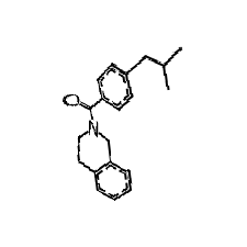 CC(C)Cc1ccc(C(=O)N2CCc3ccccc3C2)cc1